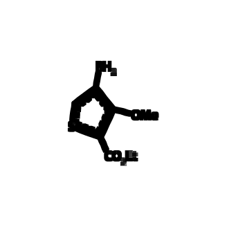 Bc1csc(C(=O)OCC)c1OC